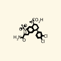 CN(C(=O)O)[C@H]1CC[C@@H](c2ccc(Cl)c(Cl)c2)c2cc(CCC(N)=O)c(NS(C)(=O)=O)cc21